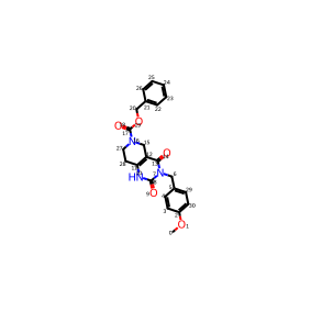 COc1ccc(Cn2c(=O)[nH]c3c(c2=O)CN(C(=O)OCc2ccccc2)CC3)cc1